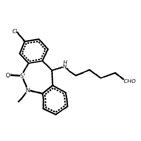 CN1c2ccccc2C(NCCCCC=O)c2ccc(Cl)cc2[S+]1[O-]